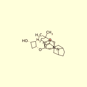 CC(C)(C)OC(=O)N1CC2CCC(C1)N2c1ccnc(O[C@H]2C[C@@H](O)C2)c1